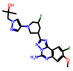 COc1cc2nc(N)n3nc(C4CC(F)CN(c5cnn(CC(C)(C)O)c5)C4)nc3c2cc1F